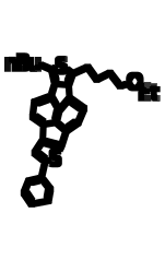 CCCCc1sc(CCCCOCC)c2c1-c1ccc3c4c(ccc-2c14)-c1sc(-c2ccccc2)cc1-3